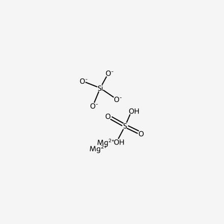 O=S(=O)(O)O.[Mg+2].[Mg+2].[O-][Si]([O-])([O-])[O-]